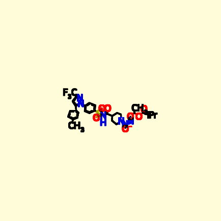 Cc1ccc(-c2cc(C(F)(F)F)nn2-c2ccc(S(=O)(=O)NC(=O)C3CCN(/[N+]([O-])=N\OC(C)OC(=O)C(C)C)CC3)cc2)cc1